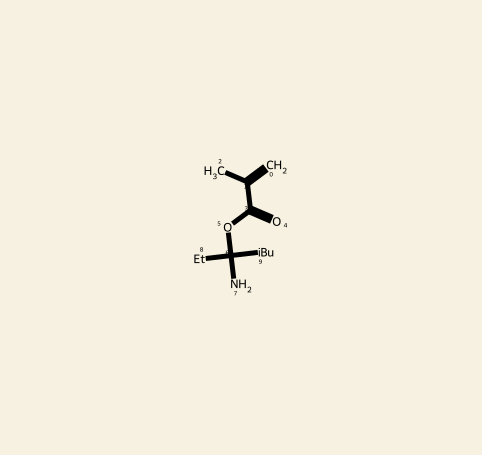 C=C(C)C(=O)OC(N)(CC)C(C)CC